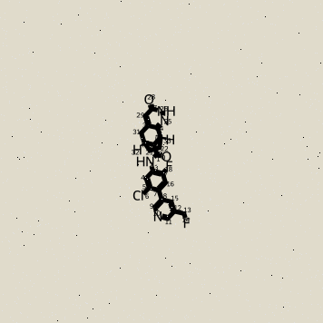 O=C(Nc1cc(Cl)c(-c2cncc(CF)c2)cc1F)C1[C@H]2CC[C@H]1c1n[nH]c(=O)cc1C2